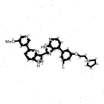 COc1cncc(-c2ccc3[nH]nc(-c4nc5c(-c6cc(F)cc(OCCN7CCCC7)c6)ccnc5[nH]4)c3n2)c1